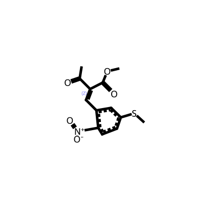 COC(=O)/C(=C\c1cc(SC)ccc1[N+](=O)[O-])C(C)=O